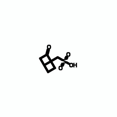 O=C1CC2CCC12CS(=O)(=O)O